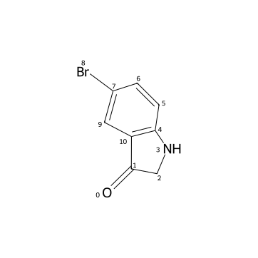 O=C1CNc2ccc(Br)cc21